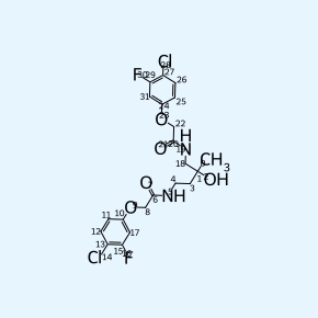 CC(O)(CCNC(=O)COc1ccc(Cl)c(F)c1)CNC(=O)COc1ccc(Cl)c(F)c1